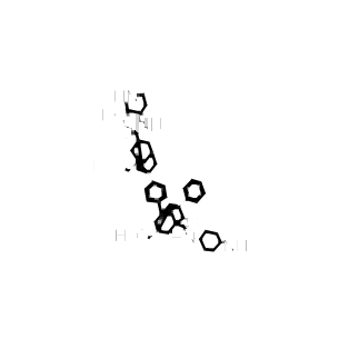 CC[C@]12CC3CC(C(=O)NC4CCNCC4(C)C)(C1)C[C@@](c1ccc(C45CC6(C(=O)N[C@H]7CC[C@@H](N)CC7)C[C@](CC)(C4)C[C@@](c4ccccc4)(C6)C5)cc1)(C3)C2